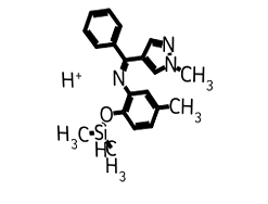 Cc1ccc(O[SiH](C)C)c(N=C(c2ccccc2)c2cnn(C)c2)c1.[H+]